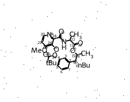 CCCC[C@H](c1ccccc1)[C@H](C)OC(=O)C(C)NC(=O)c1nccc(OC)c1OOC(=O)C(C)(C)C